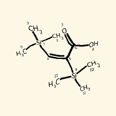 C[Si](C)(C)C=C(C(=O)O)[Si](C)(C)C